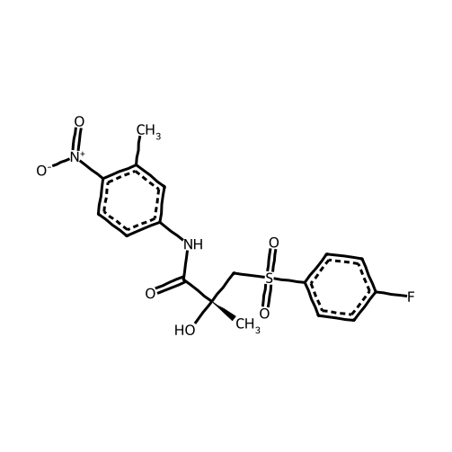 Cc1cc(NC(=O)[C@@](C)(O)CS(=O)(=O)c2ccc(F)cc2)ccc1[N+](=O)[O-]